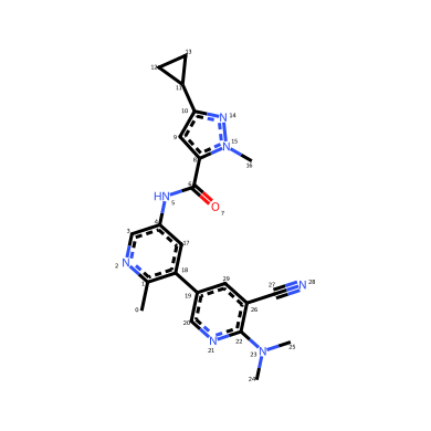 Cc1ncc(NC(=O)c2cc(C3CC3)nn2C)cc1-c1cnc(N(C)C)c(C#N)c1